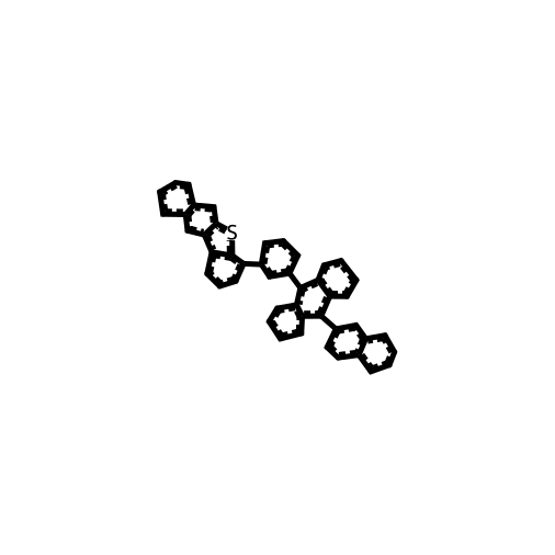 c1cc(-c2c3ccccc3c(-c3ccc4ccccc4c3)c3ccccc23)cc(-c2cccc3c2sc2cc4ccccc4cc23)c1